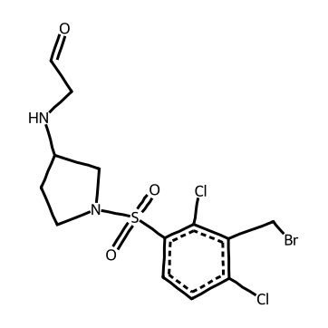 O=CCNC1CCN(S(=O)(=O)c2ccc(Cl)c(CBr)c2Cl)C1